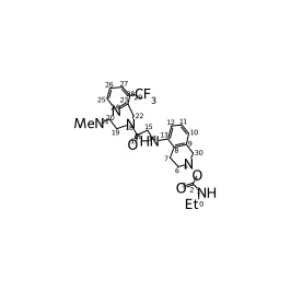 CCNC(=O)ON1CCc2c(cccc2NCC(=O)N(CCNC)Cc2ncccc2C(F)(F)F)C1